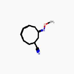 CO/N=C1\CCCCCCC(C#N)C1